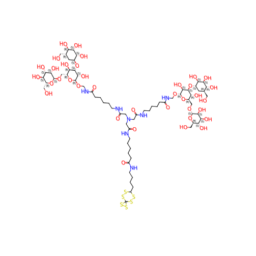 O=C(CCCCCNC(=O)CN(CC(=O)NCCCCCC(=O)NCO[C@H]1O[C@H](CO[C@H]2O[C@H](CO)[C@@H](O)[C@H](O)[C@@H]2O)[C@@H](O)[C@H](O[C@H]2C[C@H](CO)[C@@H](O)[C@H](O)[C@@H]2O)[C@@H]1O)CC(=O)NCCCCCC(=O)NCO[C@H]1O[C@H](CO[C@H]2O[C@H](CO)[C@@H](O)[C@H](O)[C@@H]2O)[C@@H](O)[C@H](O[C@H]2C[C@H](CO)[C@@H](O)[C@H](O)[C@@H]2O)[C@@H]1O)NCCCCC1SSC2(SS1)SS2